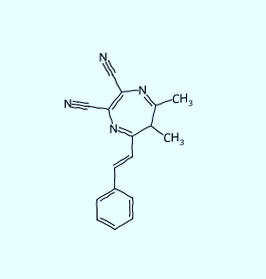 CC1=NC(C#N)=C(C#N)N=C(/C=C/c2ccccc2)C1C